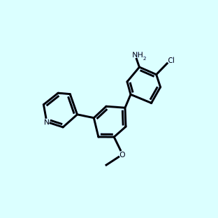 COc1cc(-c2cccnc2)cc(-c2ccc(Cl)c(N)c2)c1